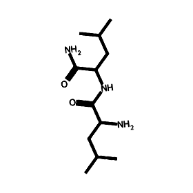 CC(C)CC(N)C(=O)NC(CC(C)C)C(N)=O